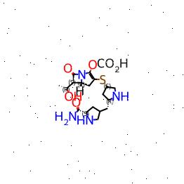 C[C@@H](O)[C@H]1C(=O)N2C(OC(=O)O)=C(S[C@@H]3CN[C@H](CC4CN[C@H](C(N)=O)C4)C3)C[C@H]12